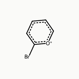 Brc1cccc[o+]1